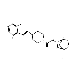 Cc1cccc(C)c1/C=C/C1CCN(C(=O)CN2C[C@H]3C[C@@H]2CN3)CC1